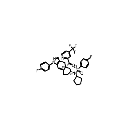 O=C(c1cc(C(F)(F)F)ccn1)[C@]12Cc3cnn(-c4ccc(F)cc4)c3C=C1CC[C@H](N(C1CCCC1)S(=O)(=O)c1ccc(F)cc1)C2